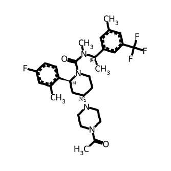 CC(=O)N1CCN([C@H]2CCN(C(=O)N(C)[C@H](C)c3cc(C)cc(C(F)(F)F)c3)[C@H](c3ccc(F)cc3C)C2)CC1